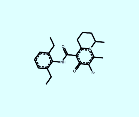 CCc1cccc(CC)c1NC(=O)c1c2n(c(C)c(Br)c1=O)C(C)CCC2